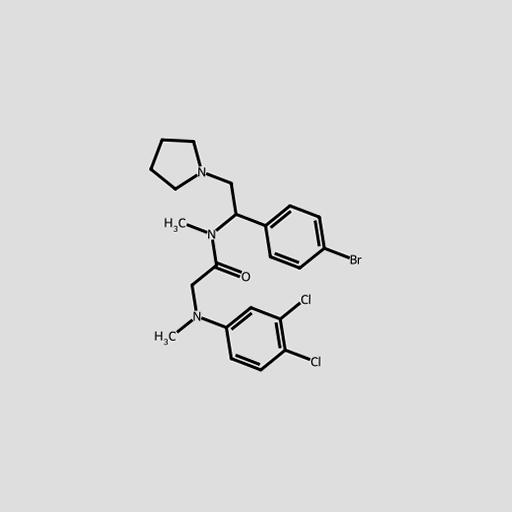 CN(CC(=O)N(C)C(CN1CCCC1)c1ccc(Br)cc1)c1ccc(Cl)c(Cl)c1